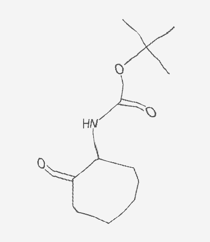 CC(C)(C)OC(=O)NC1CCCCC1=O